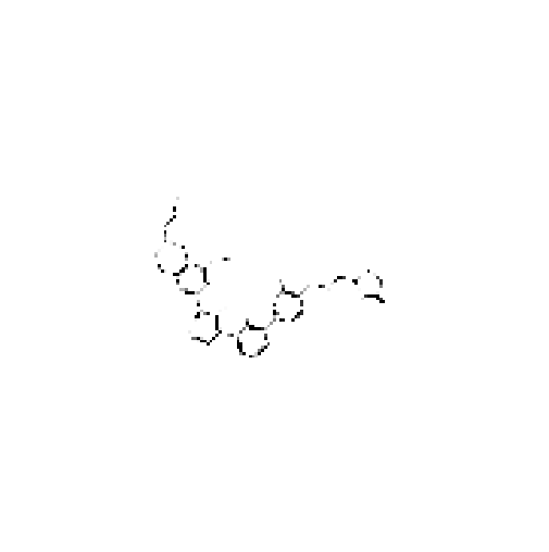 COc1cc(-c2nccc(-c3cccc(-c4ccc(CNCC5CCC(=O)N5)c(OC)n4)c3Cl)c2Cl)cc2c1CN(CCO)CC2